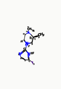 C[C@H]1CN(c2nccc(I)n2)CCN1C